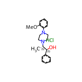 COc1ccccc1N1CCN([C@@H](C)[C@@H](O)c2ccccc2)CC1.Cl